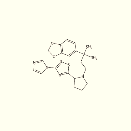 CC(N)(CCN1CCCC1c1nc(-n2ccnc2)ns1)c1ccc2c(c1)OCO2